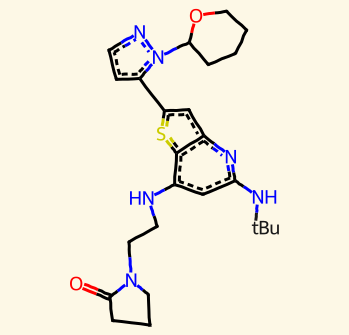 CC(C)(C)Nc1cc(NCCN2CCCC2=O)c2sc(-c3ccnn3C3CCCCO3)cc2n1